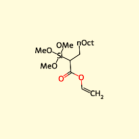 C=COC(=O)C(CCCCCCCCC)[Si](OC)(OC)OC